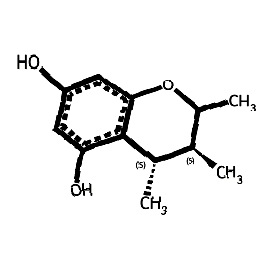 CC1Oc2cc(O)cc(O)c2[C@@H](C)[C@@H]1C